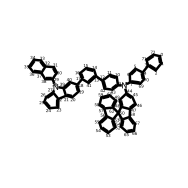 c1ccc(-c2ccc(N(c3ccc(-c4cccc(-c5ccc6c7ccccc7n(-c7ccc8ccccc8c7)c6c5)c4)cc3)c3ccc4c(c3)C3(c5ccccc5-c5ccccc53)c3ccccc3-4)cc2)cc1